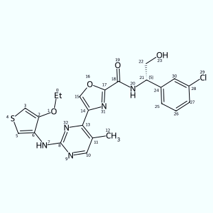 CCOc1cscc1Nc1ncc(C)c(-c2coc(C(=O)N[C@H](CO)c3cccc(Cl)c3)n2)n1